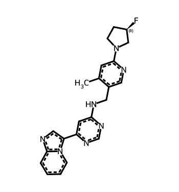 Cc1cc(N2CC[C@@H](F)C2)ncc1CNc1cc(-c2cnc3ccccn23)ncn1